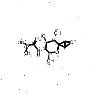 CN(N=O)C(=O)N[C@@H]1[C@@H](O)[C@H](O)C2(O[C@H]1O)C1OC12